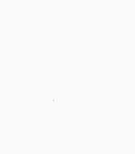 CC=C(C=CC=CCCCCC)C(=O)O